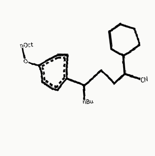 CCCCCCCCOc1ccc(C(CCCC)CCC(C#N)C2CCCCC2)cc1